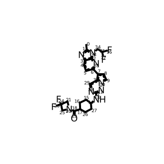 Cc1nc2ccc(-c3ccn4nc(NC5CCC(C(=O)N6CC(F)(F)C6)CC5)ncc34)nc2n1CC(F)F